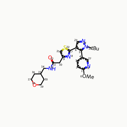 COc1ccc(-c2c(-c3nc(CC(=O)NCC4CCOCC4)cs3)cnn2C(C)(C)C)cn1